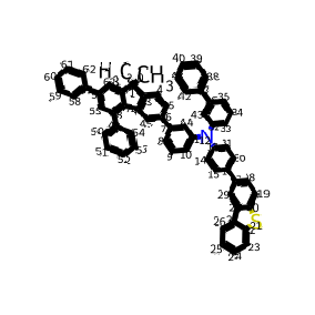 CC1(C)c2ccc(-c3cccc(N(c4ccc(-c5ccc6sc7ccccc7c6c5)cc4)c4cccc(-c5ccccc5)c4)c3)cc2-c2c(-c3ccccc3)cc(-c3ccccc3)cc21